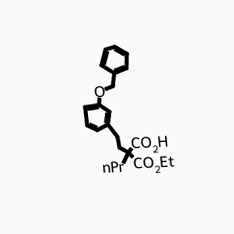 CCCC(CCc1cccc(OCc2ccccc2)c1)(C(=O)O)C(=O)OCC